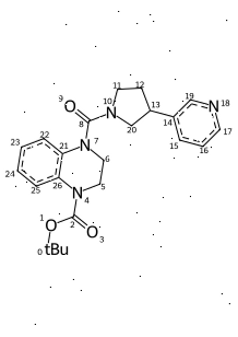 CC(C)(C)OC(=O)N1CCN(C(=O)N2CCC(c3cccnc3)C2)c2ccccc21